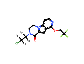 [2H]C([2H])(Cl)C([2H])([2H])N1CCn2c(cc3c(OCC(F)(F)F)nccc32)C1=O